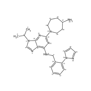 CC(C)n1cnc2c(NCc3ccccc3-n3cccn3)nc(N3CCCC(N)CC3)nc21